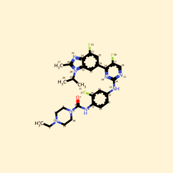 CCN1CCN(C(=O)Nc2ccc(Nc3ncc(F)c(-c4cc(F)c5nc(C)n(C(C)C)c5c4)n3)cc2F)CC1